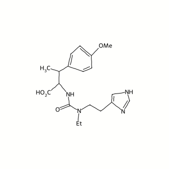 CCN(CCc1c[nH]cn1)C(=O)NC(C(=O)O)C(C)c1ccc(OC)cc1